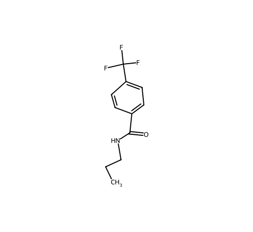 CCCNC(=O)c1ccc(C(F)(F)F)cc1